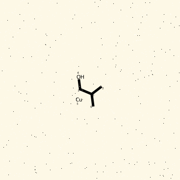 CC(C)CO.[Cu]